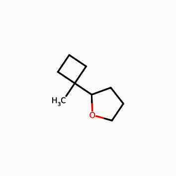 CC1(C2CCCO2)CCC1